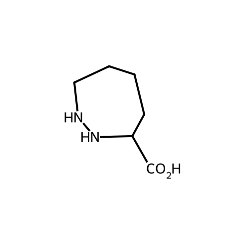 O=C(O)C1CCCCNN1